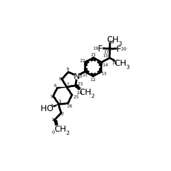 C=CC[C@]1(O)CC[C@]2(CCN(c3ccc(C(C)C(C)(F)F)cc3)C2=C)CC1